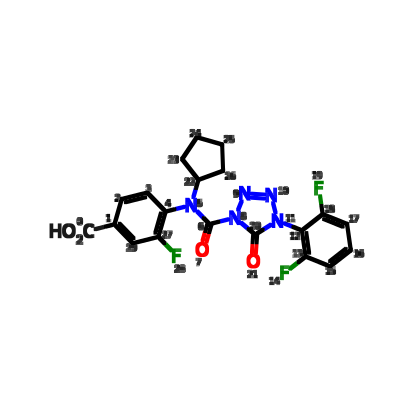 O=C(O)c1ccc(N(C(=O)n2nnn(-c3c(F)cccc3F)c2=O)C2CCCC2)c(F)c1